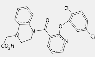 O=C(O)CN1CCN(C(=O)c2cccnc2Oc2cc(Cl)ccc2Cl)c2ccccc21